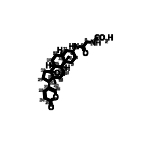 C[C@]12CC[C@@H](NC(=O)CNC(=O)O)C[C@H]1CC[C@@H]1[C@@H]2CC[C@]2(C)[C@@H](c3ccc(=O)oc3)CC[C@]12O